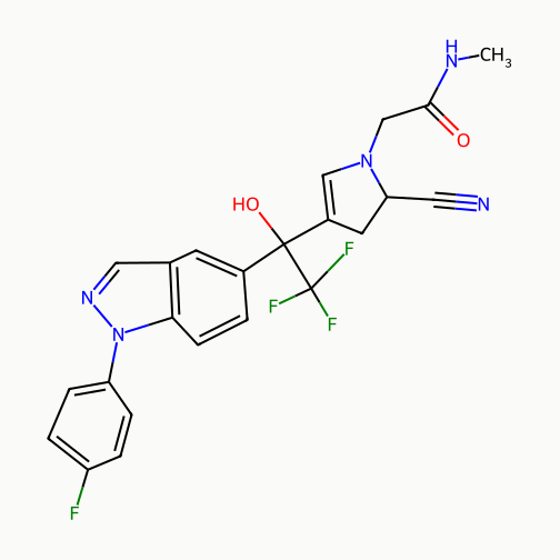 CNC(=O)CN1C=C(C(O)(c2ccc3c(cnn3-c3ccc(F)cc3)c2)C(F)(F)F)CC1C#N